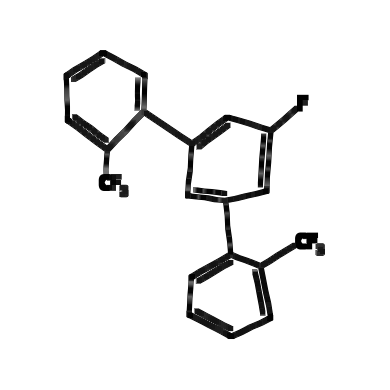 Fc1cc(-c2ccccc2C(F)(F)F)cc(-c2ccccc2C(F)(F)F)c1